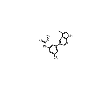 CC(C)(C)OC(=O)Nc1cc(-c2cnc3[nH]cc(I)c3c2)cc(C(F)(F)F)c1